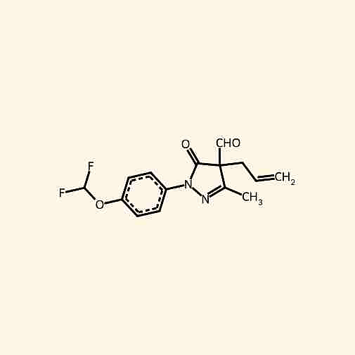 C=CCC1(C=O)C(=O)N(c2ccc(OC(F)F)cc2)N=C1C